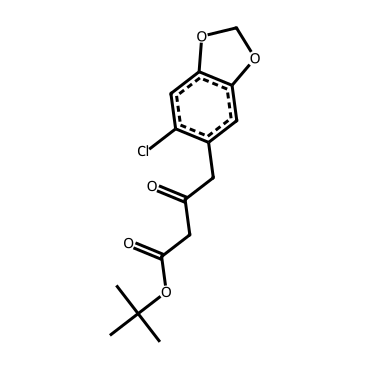 CC(C)(C)OC(=O)CC(=O)Cc1cc2c(cc1Cl)OCO2